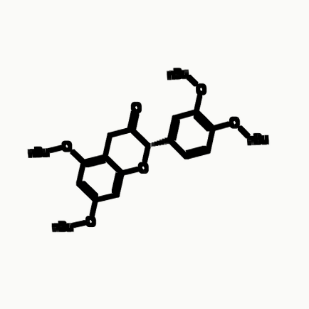 CCCCOc1cc(OCCCC)c2c(c1)O[C@@H](c1ccc(OCCCC)c(OCCCC)c1)C(=O)C2